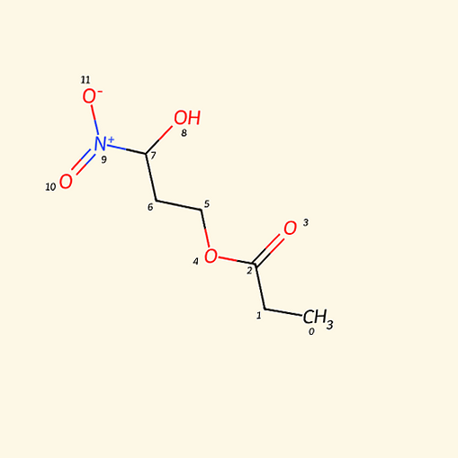 CCC(=O)OCCC(O)[N+](=O)[O-]